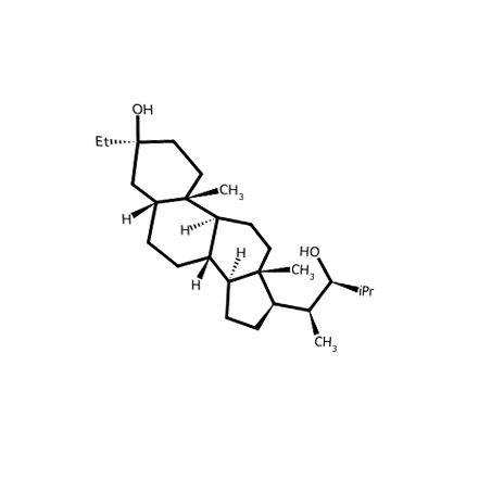 CC[C@]1(O)CC[C@@]2(C)[C@H](CC[C@@H]3[C@@H]2CC[C@]2(C)[C@@H]([C@H](C)[C@@H](O)C(C)C)CC[C@@H]32)C1